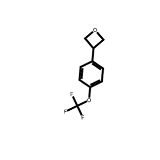 FC(F)(F)Oc1ccc(C2COC2)cc1